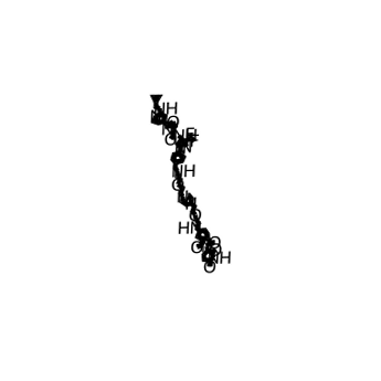 O=C1CCC(N2C(=O)c3ccc(NCCOCCN4CCN(CCOCCNCc5ccc(-n6cc(NC(=O)c7coc(-c8ccnc(NCC9CC9)c8)n7)c(C(F)F)n6)cc5)CC4)cc3C2=O)C(=O)N1